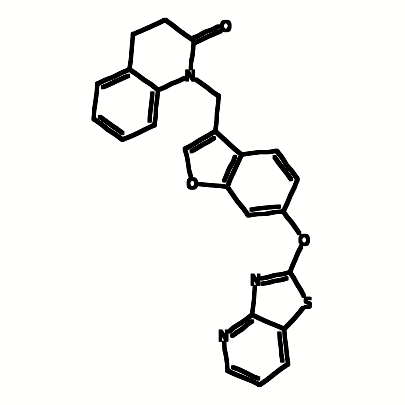 O=C1CCc2ccccc2N1Cc1coc2cc(Oc3nc4ncccc4s3)ccc12